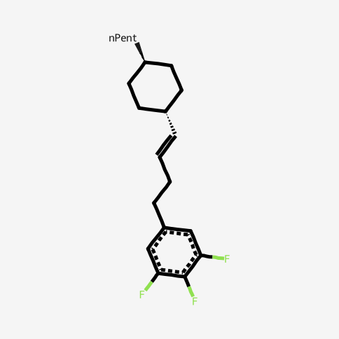 CCCCC[C@H]1CC[C@H](C=CCCc2cc(F)c(F)c(F)c2)CC1